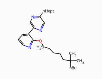 CCCCCCCc1cnc(-c2cccnc2O[SiH2]CCCCC(C)(C)CCCC)cn1